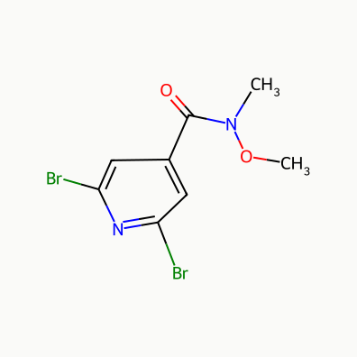 CON(C)C(=O)c1cc(Br)nc(Br)c1